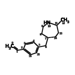 C=Cc1ccc(CC2CCNC(C)CC2)cc1